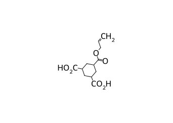 C=CCOC(=O)C1CC(C(=O)O)CC(C(=O)O)C1